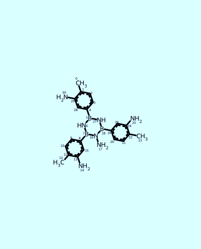 Cc1ccc(B2NB(c3ccc(C)c(N)c3)N(N)B(c3ccc(C)c(N)c3)N2)cc1N